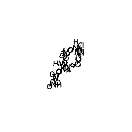 CNC(=O)COc1cc2cc(Nc3nc(N4CCC(O[C@H]5C[C@H](N6[C@@H](C)CN(c7ccc8c(c7)CN(C7CCC(=O)NC7=O)C8=O)C[C@@H]6C)C5)CC4)ncc3Cl)ccc2n(C(C)C)c1=O